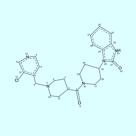 O=C(C1CCN(Cc2ccncc2Cl)CC1)N1CCC(n2c(=O)[nH]c3ccccc32)CC1